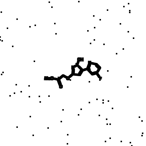 COC(=O)COc1cc(-c2cc(F)ccn2)n(O)n1